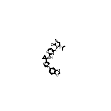 CC(C)[C@H]1CN(C)C(=O)N1Sc1ccnc(NC2(c3cn(-c4ccc5c(c4)OCO5)cn3)CC2)n1